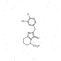 O=C(O)C1CCCc2nn(Cc3ccc(F)c(Cl)c3)c(=O)n21